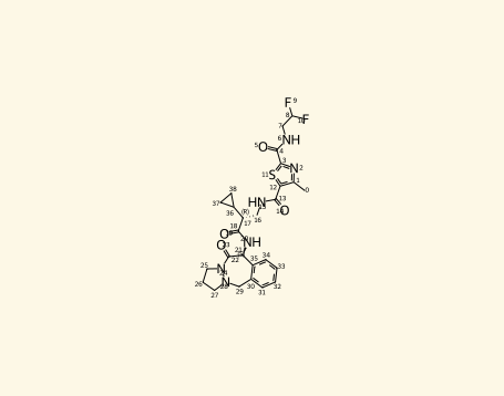 Cc1nc(C(=O)NCC(F)F)sc1C(=O)NC[C@H](C(=O)N[C@@H]1C(=O)N2CCCN2Cc2ccccc21)C1CC1